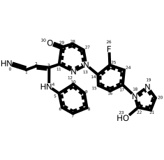 N=C/C=C(\Nc1ccccc1)c1nn(-c2ccc(-n3nccc3O)cc2F)ccc1=O